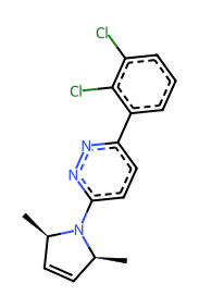 C[C@@H]1C=C[C@H](C)N1c1ccc(-c2cccc(Cl)c2Cl)nn1